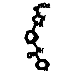 CCCCCCCCON1CN(c2cccc(NC(=O)c3ccncc3)c2)N=N1